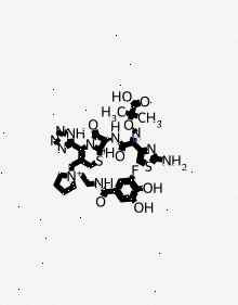 CC(C)(O/N=C(\C(=O)N[C@@H]1C(=O)N2C(c3nnn[nH]3)=C(C[N+]3(CCNC(=O)c4cc(O)c(O)c(F)c4)CCCC3)CS[C@H]12)c1csc(N)n1)C(=O)O